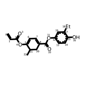 C=CC(=O)OC1=CC=C(C(=O)Oc2ccc(O)c(CC)c2)CC1C